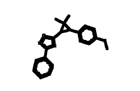 CSc1ccc(C2C(c3nc(-c4ccccc4)no3)C2(C)C)cc1